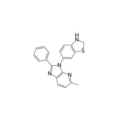 Cc1ccc2nc(-c3ccccc3)n(-c3ccc4c(c3)SCN4)c2n1